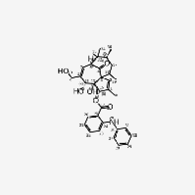 CC1=CC23C(=O)[C@@H](C=C(CO)[C@@H](O)[C@]2(O)[C@H]1OC(=O)c1ccccc1Nc1ccccc1)C(C)(C)[C@@H](C)CC3C